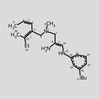 C/C=C\C(CN(C)C/C(N)=C/Nc1cccc(C(C)CC)c1)=C(/C)CC